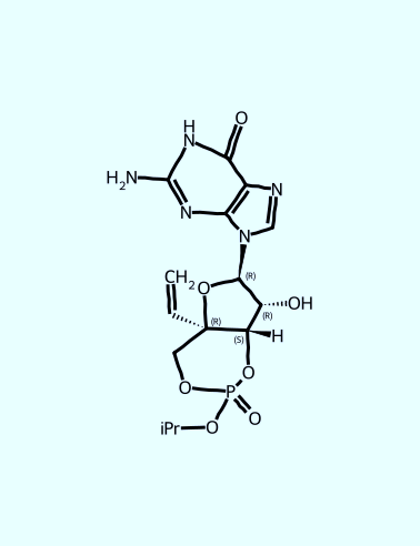 C=C[C@@]12COP(=O)(OC(C)C)O[C@H]1[C@@H](O)[C@H](n1cnc3c(=O)[nH]c(N)nc31)O2